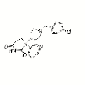 O=C1CCC(c2cccnc2)(C2CCN(Cc3ccc(Cl)cc3)CC2)C(=O)N1